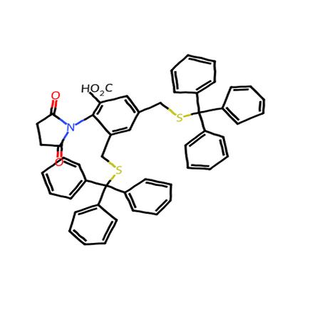 O=C(O)c1cc(CSC(c2ccccc2)(c2ccccc2)c2ccccc2)cc(CSC(c2ccccc2)(c2ccccc2)c2ccccc2)c1N1C(=O)CCC1=O